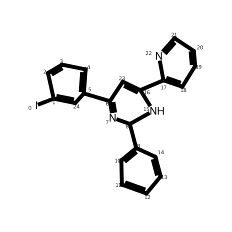 Ic1cccc(C2=NC(c3ccccc3)NC(c3ccccn3)=C2)c1